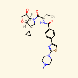 CN1CCN(c2nc(-c3ccc(C(=O)N[C@@H](CC(C)(C)C)C(=O)N4C[C@H](C5CC5)[C@H]5OCC(=O)[C@H]54)cc3)cs2)CC1